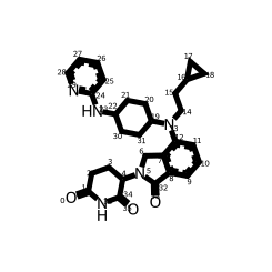 O=C1CCC(N2Cc3c(cccc3N(CCC3CC3)C3CCC(Nc4ccccn4)CC3)C2=O)C(=O)N1